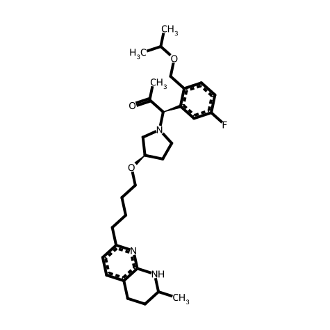 CC(=O)[C@@H](c1cc(F)ccc1COC(C)C)N1CC[C@@H](OCCCCc2ccc3c(n2)NC(C)CC3)C1